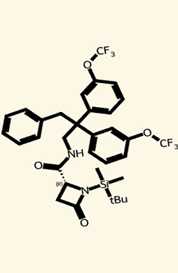 CC(C)(C)[Si](C)(C)N1C(=O)C[C@@H]1C(=O)NCC(Cc1ccccc1)(c1cccc(OC(F)(F)F)c1)c1cccc(OC(F)(F)F)c1